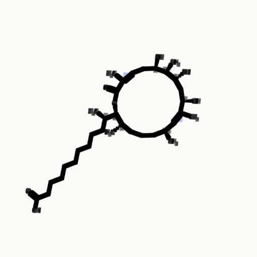 C/C1=C/C[C@@H](O)[C@@H](C)[C@H](O)C[C@H](O)/C(C)=C\[C@@H](C)CCC[C@H](C)[C@@H]([C@H](C)CCCCCCCCCC(=O)O)OC1=O